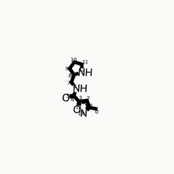 Cc1cc(C(=O)NCC2CCCN2)on1